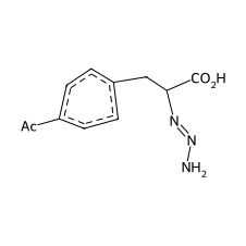 CC(=O)c1ccc(CC(N=NN)C(=O)O)cc1